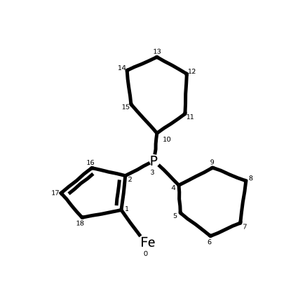 [Fe][C]1=C(P(C2CCCCC2)C2CCCCC2)C=CC1